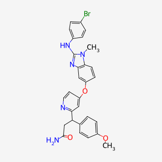 COc1ccc(C(CC(N)=O)c2cc(Oc3ccc4c(c3)nc(Nc3ccc(Br)cc3)n4C)ccn2)cc1